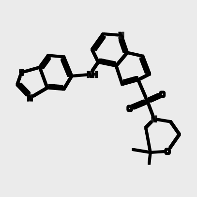 CC1(C)CN(S(=O)(=O)c2ccc3nccc(Nc4ccc5scnc5c4)c3c2)CCO1